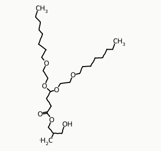 [CH2]C(CO)COC(=O)CCC(OCCOCCCCCCCC)OCCOCCCCCCCC